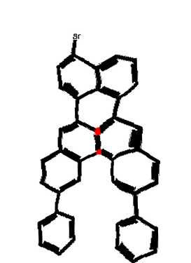 Brc1ccc(-c2ccc3c(c2)CCC(c2ccccc2)=C3)c2c(-c3ccc4cc(-c5ccccc5)ccc4c3)cccc12